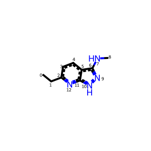 CCc1ccc2c(NC)n[nH]c2n1